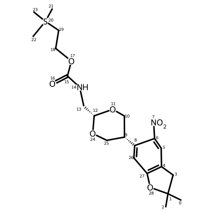 CC1(C)Cc2cc([N+](=O)[O-])c([C@H]3CO[C@@H](CNC(=O)OCCS(C)(C)C)OC3)cc2O1